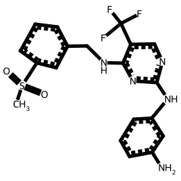 CS(=O)(=O)c1cccc(CNc2nc(Nc3cccc(N)c3)ncc2C(F)(F)F)c1